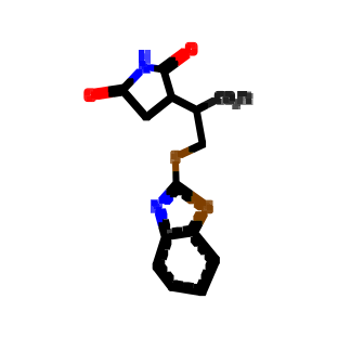 CCOC(=O)C(CSc1nc2ccccc2s1)C1CC(=O)NC1=O